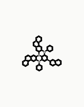 c1ccc(N2c3cc4c(ccc5ccccc54)cc3B3c4cc5ccc6ccccc6c5cc4N(c4ccccc4)c4cc(-c5ccc6ccccc6c5)cc2c43)cc1